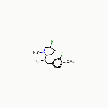 COc1ccc(CC(C)C2C[CH]C(Br)CN2C)cc1F